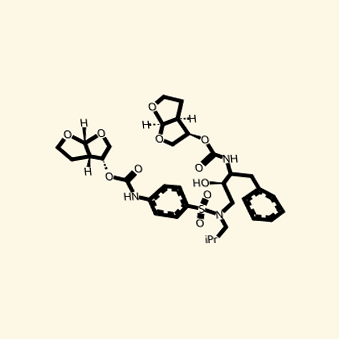 CC(C)CN(C[C@@H](O)C(Cc1ccccc1)NC(=O)O[C@H]1CO[C@H]2OCC[C@H]21)S(=O)(=O)c1ccc(NC(=O)O[C@H]2CO[C@H]3OCC[C@H]32)cc1